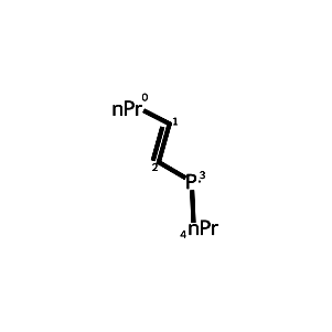 CCCC=C[P]CCC